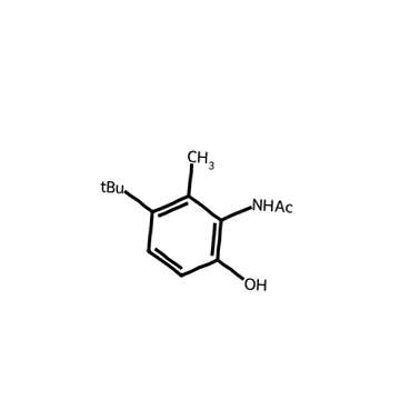 CC(=O)Nc1c(O)ccc(C(C)(C)C)c1C